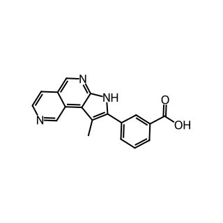 Cc1c(-c2cccc(C(=O)O)c2)[nH]c2ncc3ccncc3c12